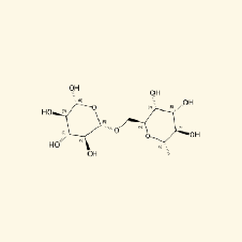 C[C@@H]1O[C@@H](CO[C@H]2O[C@@H](O)[C@H](O)[C@@H](O)[C@@H]2O)[C@H](O)[C@H](O)[C@H]1O